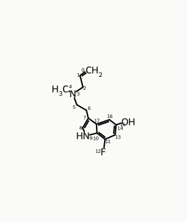 C=CCN(C)CCc1c[nH]c2c(F)cc(O)cc12